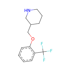 FC(F)(F)c1ccccc1OCC1CCCNC1